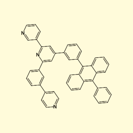 c1ccc(-c2c3ccccc3c(-c3cccc(-c4cc(-c5cccnc5)nc(-c5cccc(-c6ccncc6)c5)c4)c3)c3ccccc23)cc1